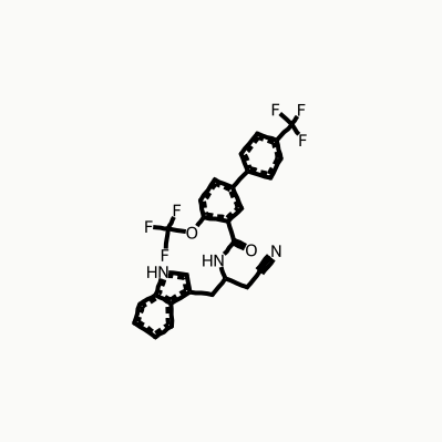 N#CCC(Cc1c[nH]c2ccccc12)NC(=O)c1cc(-c2ccc(C(F)(F)F)cc2)ccc1OC(F)(F)F